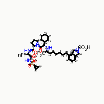 CCCC(NC(=O)[C@@H]1CCCN1C(=O)[C@@H](NC(CCCCCCc1cccc2c1CN(C(=O)O)C2)C(F)(F)F)C1CCCCC1)C(=O)NS(=O)(=O)C1CC1